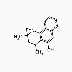 CC1CC2(C)CN2c2c1c(O)cc1ccccc21